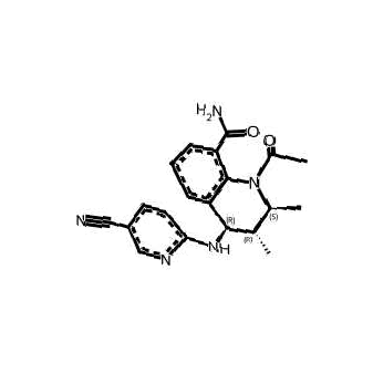 CC(=O)N1c2c(C(N)=O)cccc2[C@H](Nc2ccc(C#N)cn2)[C@@H](C)[C@@H]1C